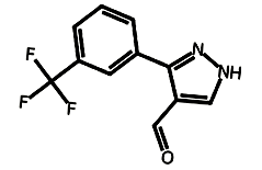 O=Cc1c[nH]nc1-c1cccc(C(F)(F)F)c1